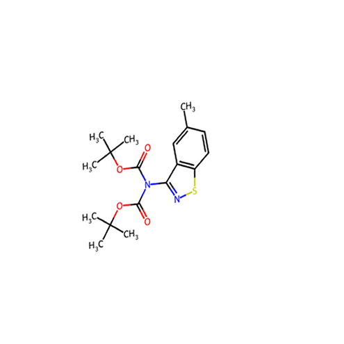 Cc1ccc2snc(N(C(=O)OC(C)(C)C)C(=O)OC(C)(C)C)c2c1